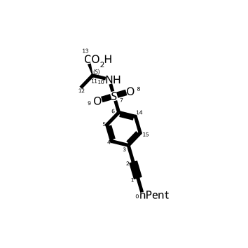 CCCCCC#Cc1ccc(S(=O)(=O)N[C@@H](C)C(=O)O)cc1